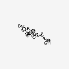 CC(CC1CC(c2ccc(Br)cc2F)=NO1)(C(=O)OCC1CC1C#CC(=O)O)S(C)(=O)=O